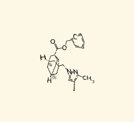 Cc1nn(CC23C[C@H]4C[C@@H](C2)CC(C(=O)OCc2ccccc2)(C4)C3)cc1I